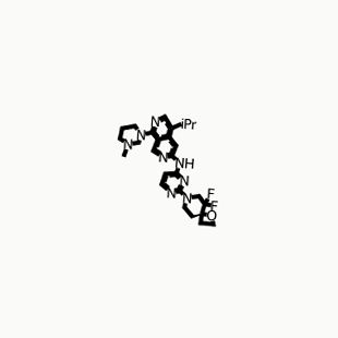 CC(C)c1cnc(N2CCCN(C)C2)c2cnc(Nc3ccnc(N4CC[C@@]5(CCO5)C(F)(F)C4)n3)cc12